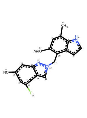 COc1cc(C)c2[nH]ccc2c1Cn1cc2c(F)cc(C#N)cc2n1